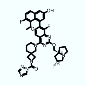 CC(=O)c1c(F)ccc2cc(O)cc(-c3ccc4c(N5CCCC6(CN(C(=O)n7cncn7)C6)C5)nc(OC[C@@]56CCCN5C[C@H](F)C6)nc4c3F)c12